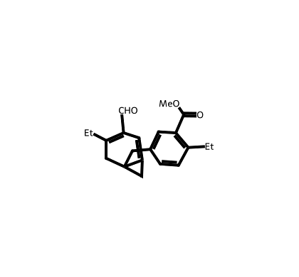 CCC1=C(C=O)C=C2CC2(Cc2ccc(CC)c(C(=O)OC)c2)C1